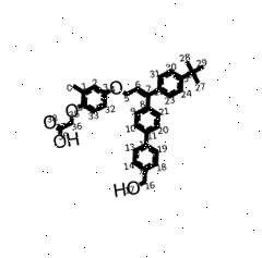 Cc1cc(OC/C=C(\c2ccc(-c3ccc(CO)cc3)cc2)c2ccc(C(C)(C)C)cc2)ccc1OCC(=O)O